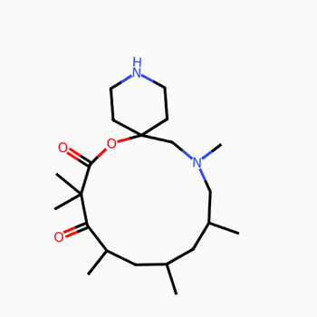 CC1CC(C)CN(C)CC2(CCNCC2)OC(=O)C(C)(C)C(=O)C(C)C1